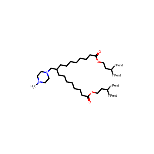 CCCCCC(CCCCC)CCOC(=O)CCCCCCCC(CCCCCCCC(=O)OCCC(CCCCC)CCCCC)CN1CCN(C)CC1